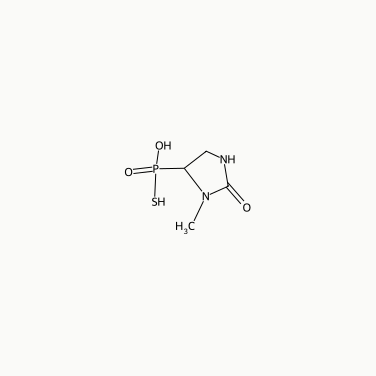 CN1C(=O)NCC1P(=O)(O)S